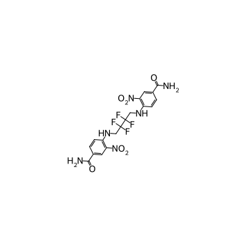 NC(=O)c1ccc(NCC(F)(F)C(F)(F)CNc2ccc(C(N)=O)cc2[N+](=O)[O-])c([N+](=O)[O-])c1